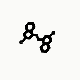 Clc1cc(SSc2cc(Cl)cc3ccccc23)c2ccccc2c1